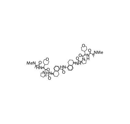 CN[C@@H](C)C(=O)N[C@H](C(=O)N1CCC[C@H]1C(=O)N[C@@H]1CCCc2c(NC(=O)c3cccc4c3CCC[C@H]4NC(=O)[C@@H]3CCCN3C(=O)[C@@H](NC(=O)[C@H](C)NC)C3CCOCC3)cccc21)C1CCOCC1